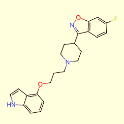 Fc1ccc2c(C3CCN(CCCOc4cccc5[nH]ccc45)CC3)noc2c1